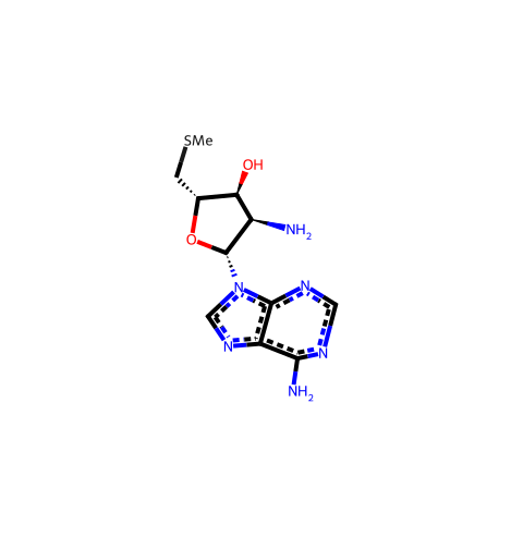 CSC[C@H]1O[C@@H](n2cnc3c(N)ncnc32)[C@H](N)[C@@H]1O